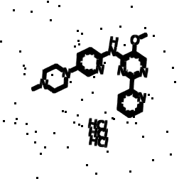 COc1cnc(-c2ccccn2)nc1Nc1ccc(N2CCN(C)CC2)cn1.Cl.Cl.Cl